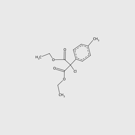 CCOC(=O)C(Cl)(C(=O)OCC)c1ccc(C)cc1